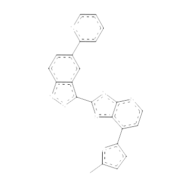 Cc1ccc(-c2ccnc3[nH]c(-c4n[nH]c5ccc(-c6ccccn6)cc45)nc23)s1